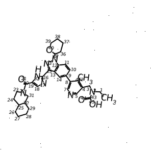 CCN(Cc1cncc(-c2ccc3c(c2)c(-c2ncc(C(=O)N4CCC5CCCCC5C4)[nH]2)nn3C2CCCCO2)c1C)C(=O)O